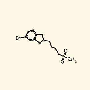 CS(=O)(=O)CCCCC1Cc2ccc(Br)cc2C1